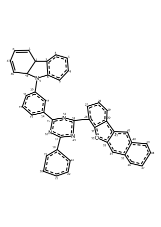 C1=CC2c3ccccc3N(c3cccc(-c4nc(-c5ccccc5)nc(-c5cccc6c5oc5cc7ccccc7cc56)n4)c3)C2C=C1